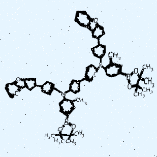 Cc1cc(B2OC(C)(C)C(C)(C)O2)ccc1N(c1ccc(-c2ccc(N(c3ccc(-c4ccc5oc6ccccc6c5c4)cc3)c3ccc(B4OC(C)(C)C(C)(C)O4)cc3C)cc2)cc1)c1ccc(-c2ccc3oc4ccccc4c3c2)cc1